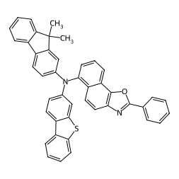 CC1(C)c2ccccc2-c2ccc(N(c3ccc4c(c3)sc3ccccc34)c3cccc4c3ccc3nc(-c5ccccc5)oc34)cc21